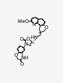 COc1ccc2ccc3c(c2n1)C[C@H](CNC[C@@H]1CN(c2ccc4c(c2)NC(=O)CO4)C(=O)O1)CO3